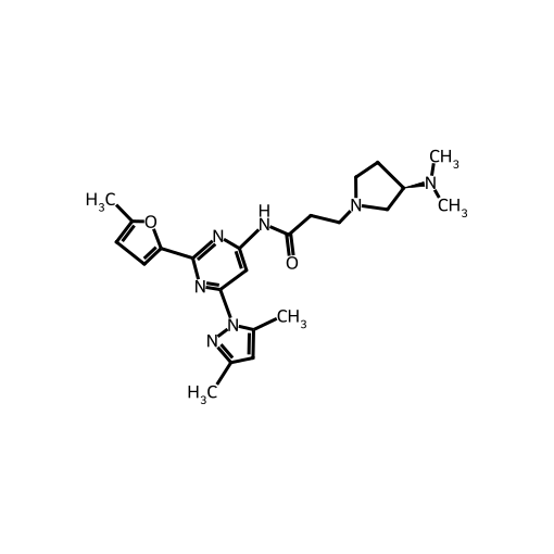 Cc1cc(C)n(-c2cc(NC(=O)CCN3CC[C@@H](N(C)C)C3)nc(-c3ccc(C)o3)n2)n1